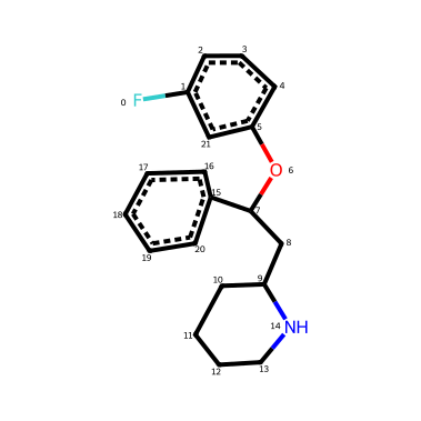 Fc1cccc(OC(CC2CCCCN2)c2ccccc2)c1